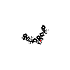 O=C(c1cc2nc(N3CCOCC3c3cccc(C4CCN(C(=O)c5nc6ccccc6[nH]5)CC4)c3C(F)(F)F)ccc2[nH]1)N1CCC(c2ccccc2C(F)(F)F)CC1